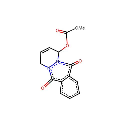 COC(=O)OC1C=CCn2c(=O)c3ccccc3c(=O)n21